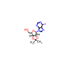 CC1(C)O[C@@H]2[C@H](O1)[C@@H](CO)O[C@H]2n1cnc2c(I)ncnc21